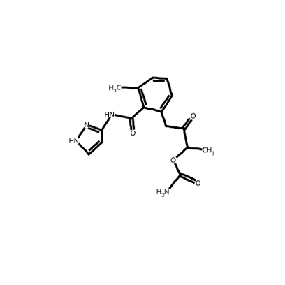 Cc1cccc(CC(=O)C(C)OC(N)=O)c1C(=O)Nc1cc[nH]n1